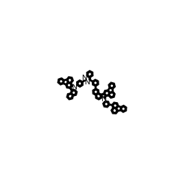 c1cc(-c2ccc3ccc4c(c3c2)c2cc3c5c(cccc5c2n4-c2cccc(-c4ccc5c6c(cccc46)-c4ccccc4-5)c2)-c2ccccc2-3)cc(-c2nc(-c3ccc(-n4c5ccc6ccccc6c5c5cc6c7c(cccc7c54)-c4ccccc4-6)cc3)nc3ccccc23)c1